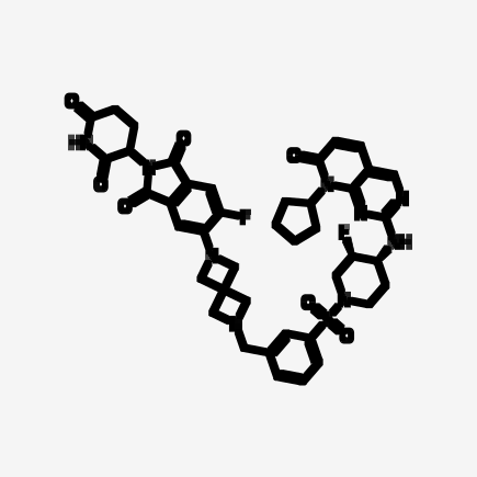 O=C1CCC(N2C(=O)c3cc(F)c(N4CC5(CN(Cc6cccc(S(=O)(=O)N7CC[C@H](Nc8ncc9ccc(=O)n(C%10CCCC%10)c9n8)[C@H](F)C7)c6)C5)C4)cc3C2=O)C(=O)N1